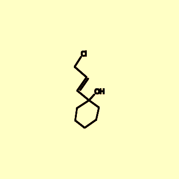 OC1(C=CCCl)CCCCC1